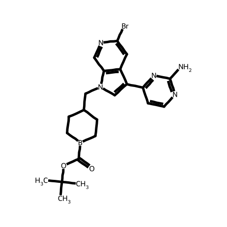 CC(C)(C)OC(=O)B1CCC(Cn2cc(-c3ccnc(N)n3)c3cc(Br)ncc32)CC1